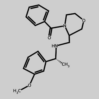 COc1cccc([C@@H](C)NCC2COCCN2C(=O)c2ccccc2)c1